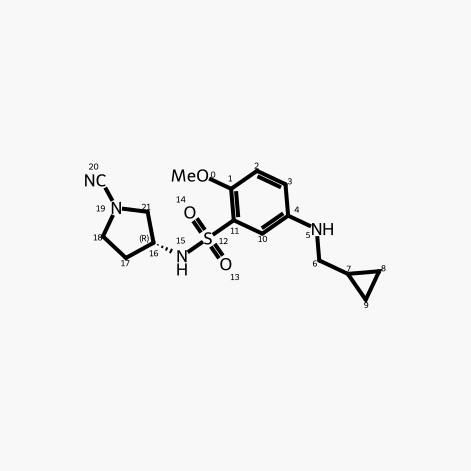 COc1ccc(NCC2CC2)cc1S(=O)(=O)N[C@@H]1CCN(C#N)C1